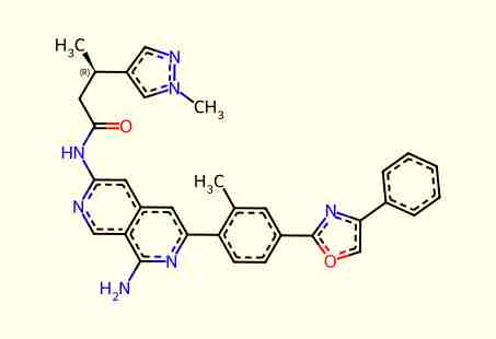 Cc1cc(-c2nc(-c3ccccc3)co2)ccc1-c1cc2cc(NC(=O)C[C@@H](C)c3cnn(C)c3)ncc2c(N)n1